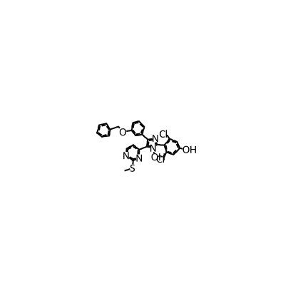 CSc1nccc(-c2c(-c3cccc(OCc4ccccc4)c3)nc(-c3c(Cl)cc(O)cc3Cl)n2O)n1